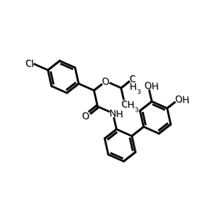 CC(C)OC(C(=O)Nc1ccccc1-c1ccc(O)c(O)c1)c1ccc(Cl)cc1